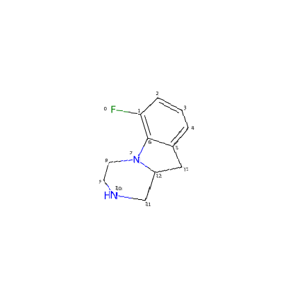 Fc1cccc2c1N1CCNCC1C2